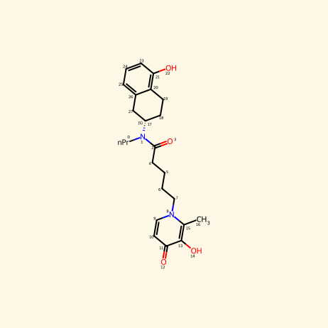 CCCN(C(=O)CCCCn1ccc(=O)c(O)c1C)[C@H]1CCc2c(O)cccc2C1